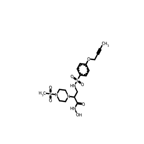 CC#CCOc1ccc(S(=O)(=O)NCC(C(=O)NO)N2CCN(S(C)(=O)=O)CC2)cc1